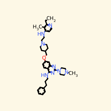 C=Cc1nccc(NCCN2CCC(COc3ccc4c(NCCCc5ccccc5)nc(N5CCN(C)CC5)nc4c3)CC2)c1C